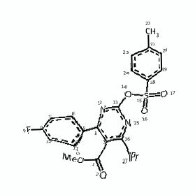 COC(=O)c1c(-c2ccc(F)cc2)nc(OS(=O)(=O)c2ccc(C)cc2)nc1C(C)C